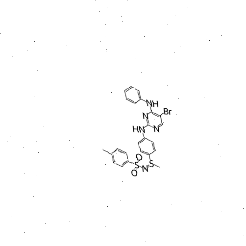 Cc1ccc(S(=O)(=O)N=S(C)c2ccc(Nc3ncc(Br)c(Nc4ccccc4)n3)cc2)cc1